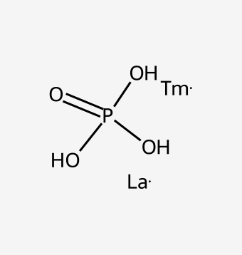 O=P(O)(O)O.[La].[Tm]